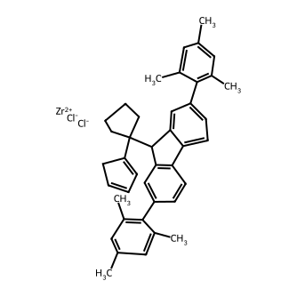 Cc1cc(C)c(-c2ccc3c(c2)C(C2(C4=CC=CC4)CCCC2)c2cc(-c4c(C)cc(C)cc4C)ccc2-3)c(C)c1.[Cl-].[Cl-].[Zr+2]